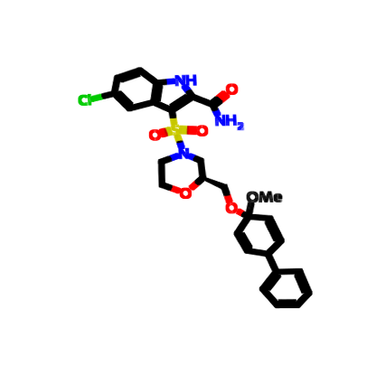 COC1(OC[C@@H]2CN(S(=O)(=O)c3c(C(N)=O)[nH]c4ccc(Cl)cc34)CCO2)C=CC(c2ccccc2)C=C1